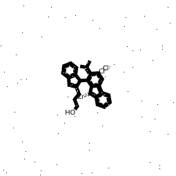 CC(C)=c1ccc2c(c1C1C(CCCO)=Cc3ccccc31)[C]([Zr+2])=c1ccccc1=2.[Cl-].[Cl-]